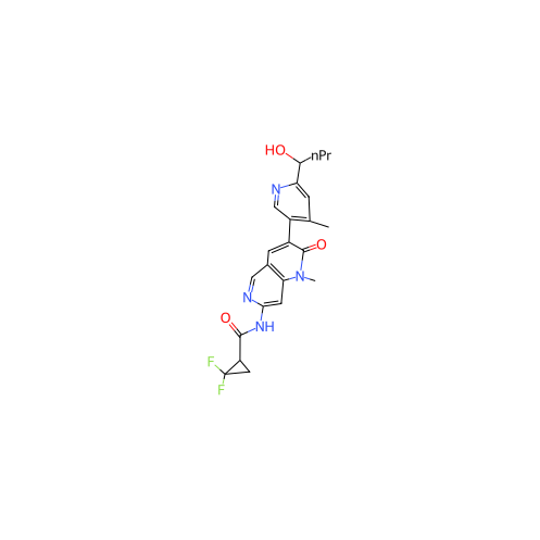 CCCC(O)c1cc(C)c(-c2cc3cnc(NC(=O)C4CC4(F)F)cc3n(C)c2=O)cn1